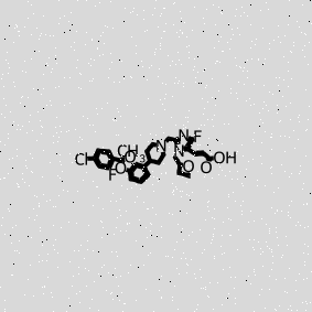 CC1(c2ccc(Cl)cc2F)Oc2cccc(C3CCN(Cc4nc(F)c(/C=C/C(=O)O)n4CC4CCO4)CC3)c2O1